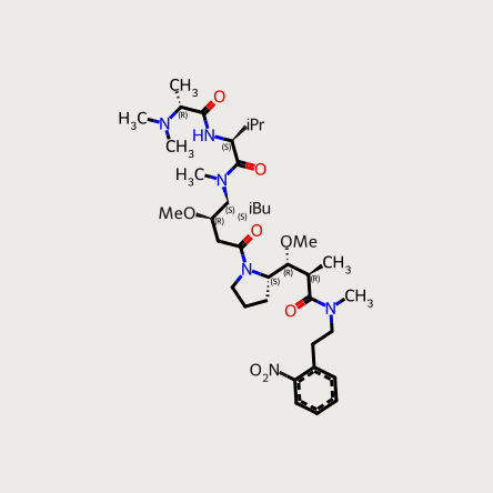 CC[C@H](C)[C@@H]([C@@H](CC(=O)N1CCC[C@H]1[C@H](OC)[C@@H](C)C(=O)N(C)CCc1ccccc1[N+](=O)[O-])OC)N(C)C(=O)[C@@H](NC(=O)[C@@H](C)N(C)C)C(C)C